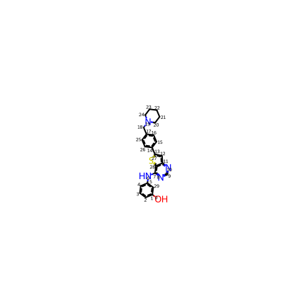 Oc1cccc(Nc2ncnc3cc(-c4ccc(CN5CCCCC5)cc4)sc23)c1